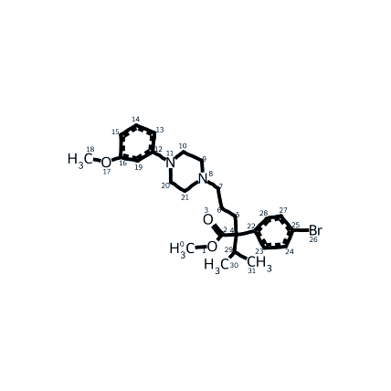 COC(=O)C(CCCN1CCN(c2cccc(OC)c2)CC1)(c1ccc(Br)cc1)C(C)C